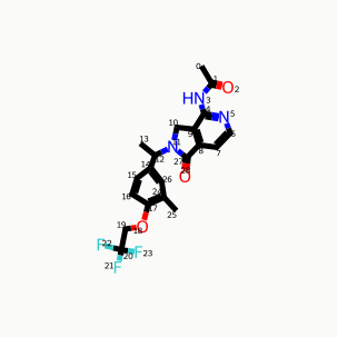 CC(=O)Nc1nccc2c1CN(C(C)c1ccc(OCC(F)(F)F)c(C)c1)C2=O